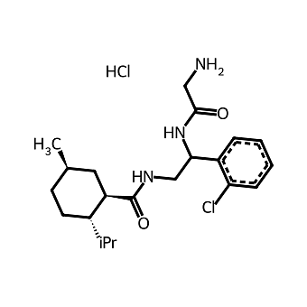 CC(C)[C@@H]1CC[C@@H](C)C[C@H]1C(=O)NCC(NC(=O)CN)c1ccccc1Cl.Cl